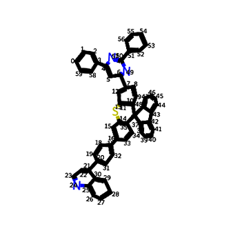 c1ccc(-c2cc(-c3ccc4c(c3)Sc3cc(-c5ccc(-c6ccnc7ccccc67)cc5)ccc3C43c4ccccc4-c4ccccc43)nc(-c3ccccc3)n2)cc1